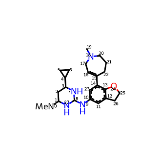 CNC1CC(C2CC2)NC(Nc2cc3c(c(C4=CCN(C)CCC4)c2)OCC3)N1